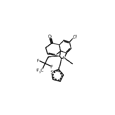 CN1C2=CC(Cl)=CC3C(=O)CC=NC23C(CC(F)(F)C(F)(F)F)C1c1cccs1